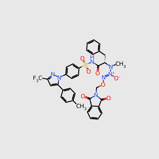 Cc1ccc(-c2cc(C(F)(F)F)nn2-c2ccc(S(=O)(=O)NC(=O)[C@H](Cc3ccccc3)N(C)/[N+]([O-])=N/OCN3C(=O)c4ccccc4C3=O)cc2)cc1